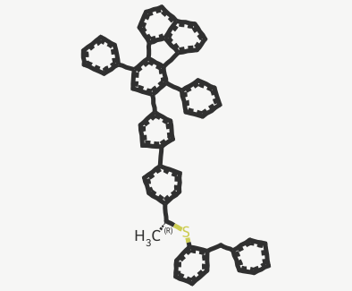 C[C@@H](Sc1ccccc1Cc1ccccc1)c1ccc(-c2ccc(-c3cc(-c4ccccc4)c4c(c3-c3ccccc3)-c3cccc5cccc-4c35)cc2)cc1